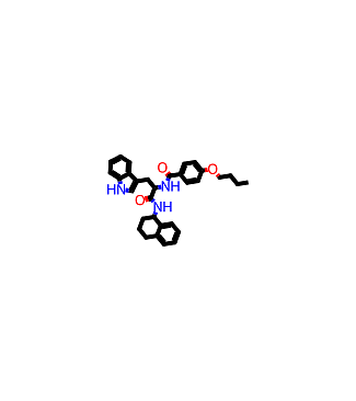 CCCCOc1ccc(C(=O)NC(Cc2c[nH]c3ccccc23)C(=O)NC2CCCc3ccccc32)cc1